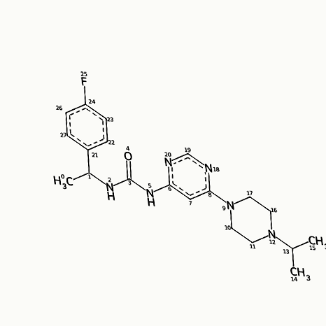 CC(NC(=O)Nc1cc(N2CCN(C(C)C)CC2)ncn1)c1ccc(F)cc1